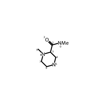 CNC(=O)C1C[N]CCN1C